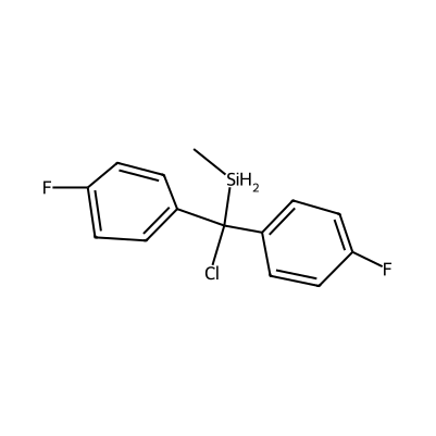 C[SiH2]C(Cl)(c1ccc(F)cc1)c1ccc(F)cc1